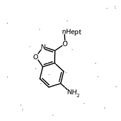 CCCCCCCOc1noc2ccc(N)cc12